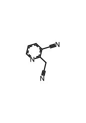 N#CCc1ncccc1C#N